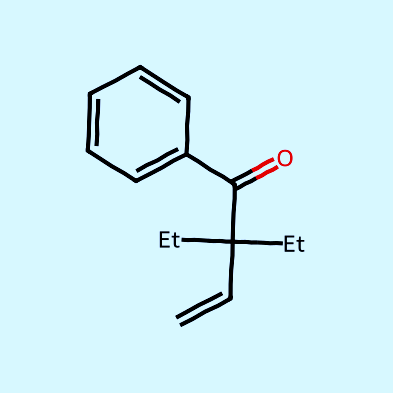 C=CC(CC)(CC)C(=O)c1ccccc1